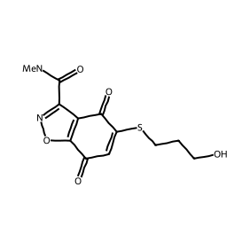 CNC(=O)c1noc2c1C(=O)C(SCCCO)=CC2=O